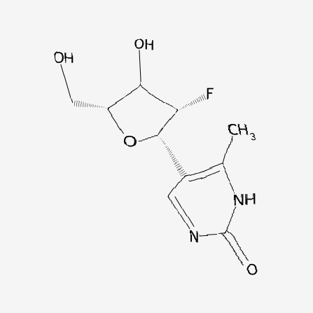 Cc1[nH]c(=O)ncc1[C@@H]1O[C@H](CO)C(O)[C@@H]1F